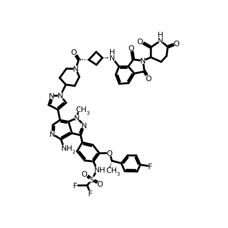 C[C@H](Oc1cc(-c2nn(C)c3c(-c4cnn(C5CCN(C(=O)[C@H]6C[C@@H](Nc7cccc8c7C(=O)N(C7CCC(=O)NC7=O)C8=O)C6)CC5)c4)cnc(N)c23)ccc1NS(=O)(=O)C(F)F)c1ccc(F)cc1